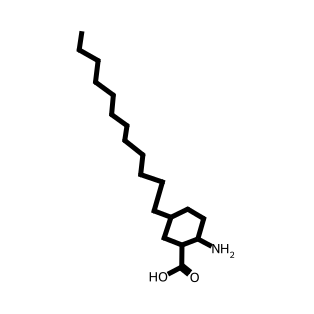 CCCCCCCCCCCCC1CCC(N)C(C(=O)O)C1